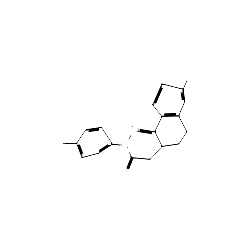 O=C1CC2CCc3cc(Cl)ccc3C2=NN1c1ccc(Cl)cc1